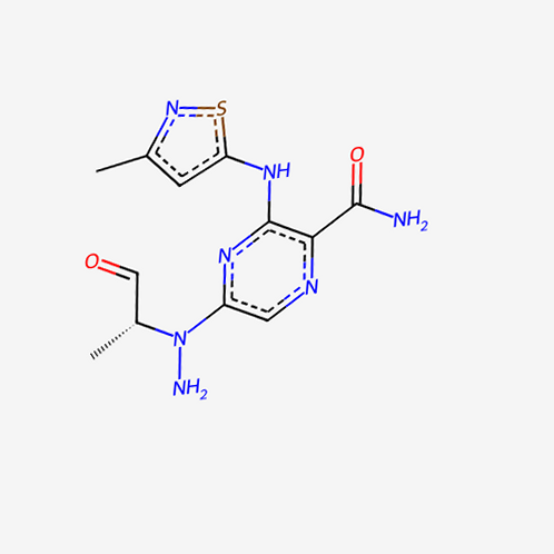 Cc1cc(Nc2nc(N(N)[C@H](C)C=O)cnc2C(N)=O)sn1